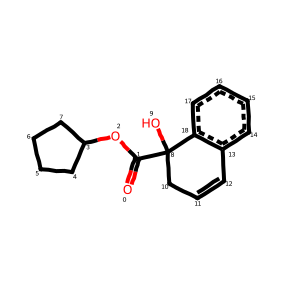 O=C(OC1CCCC1)C1(O)CC=Cc2ccccc21